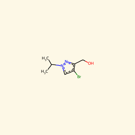 CC(C)n1cc(Br)c(CO)n1